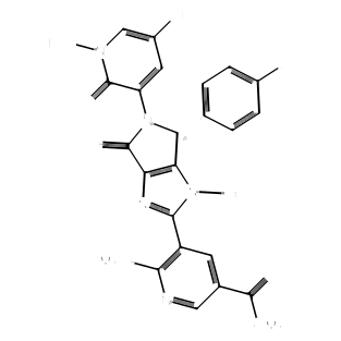 COC(=O)c1cnc(OC)c(-c2nc3c(n2C(C)C)[C@@H](c2ccc(Cl)cc2)N(c2cc(Cl)cn(C)c2=O)C3=O)c1